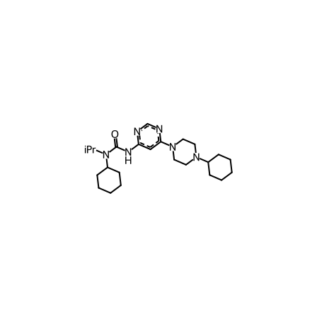 CC(C)N(C(=O)Nc1cc(N2CCN(C3CCCCC3)CC2)ncn1)C1CCCCC1